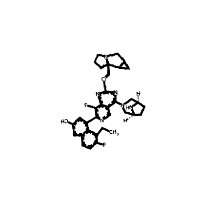 CCc1c(F)ccc2cc(O)cc(-c3ncc4c(N5C[C@H]6CC[C@@H](C5)N6)nc(OCC56CCCN5CC5CC56)nc4c3F)c12